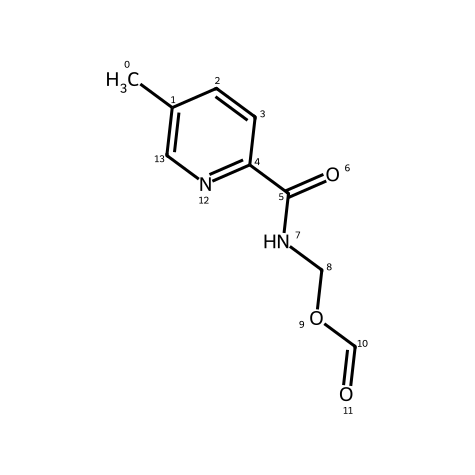 Cc1ccc(C(=O)NCOC=O)nc1